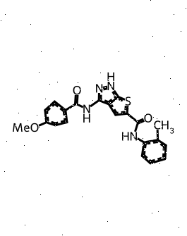 COc1ccc(C(=O)Nc2n[nH]c3sc(C(=O)Nc4ccccc4C)cc23)cc1